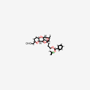 C=C(Br)C[C@H](CC[C@]12CC(C)C(O1)[C@@H]1OC3CCC(CC=O)O[C@@H]3C(O2)C1CC)OC(=O)c1ccccc1